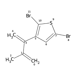 C=C(C)C(=C)c1cc(Br)sc1Br